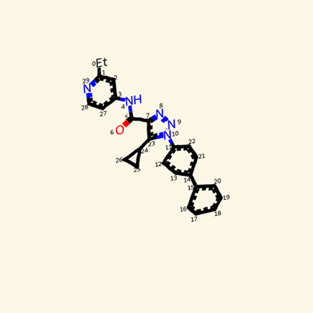 CCc1cc(NC(=O)c2nnn(-c3ccc(-c4ccccc4)cc3)c2C2CC2)ccn1